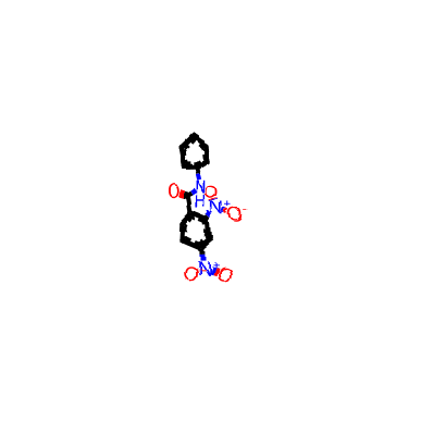 O=C(Nc1ccccc1)c1ccc([N+](=O)[O-])cc1[N+](=O)[O-]